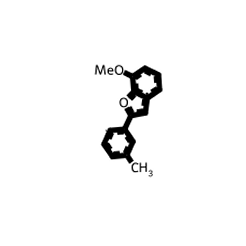 COc1cccc2cc(-c3[c]ccc(C)c3)oc12